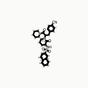 N#Cc1ccc(CC(C(=O)N2CCCCC2)N2CCCC(NS(=O)(=O)c3ccc4ccccc4c3)C2=O)cc1